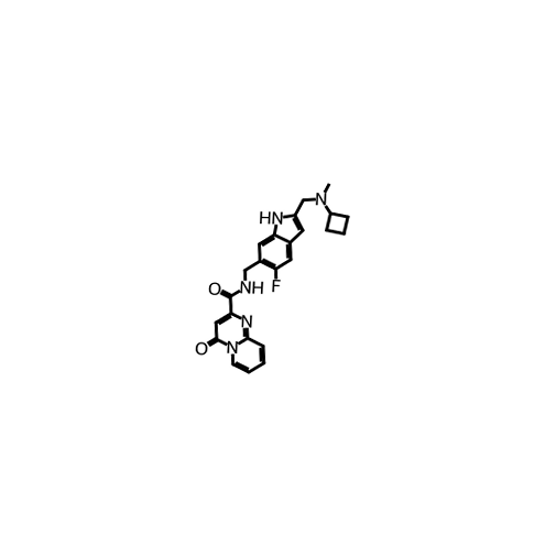 CN(Cc1cc2cc(F)c(CNC(=O)c3cc(=O)n4ccccc4n3)cc2[nH]1)C1CCC1